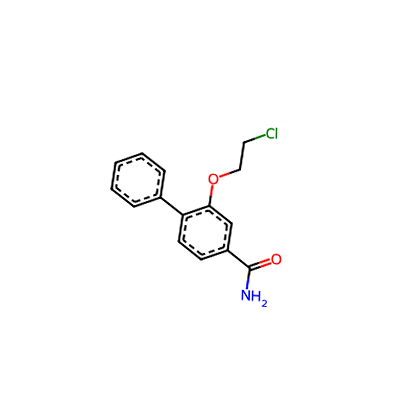 NC(=O)c1ccc(-c2ccccc2)c(OCCCl)c1